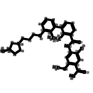 COc1cc(NC(=O)c2cccc(-c3cccc(OCCCN4CC[C@@H](O)C4)c3C)c2C)c(Cl)cc1C(=O)O